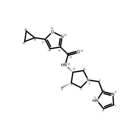 C[C@H]1CN(Cc2ncc[nH]2)C[C@H]1NC(=O)c1cc(C2CC2)on1